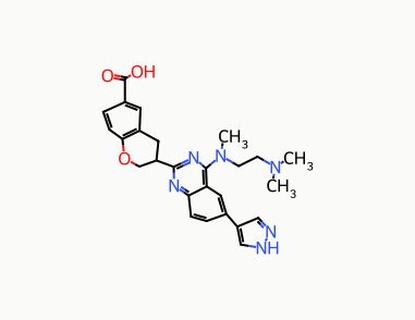 CN(C)CCN(C)c1nc(C2COc3ccc(C(=O)O)cc3C2)nc2ccc(-c3cn[nH]c3)cc12